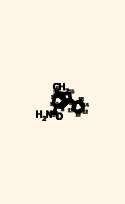 C=C1C2CC3(C(N)=O)CC4(c5ccccc5)CC1C4(C2)C3